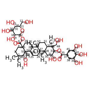 CC1(C)CC[C@]2(C(=O)O[C@@H]3OC(CO)[C@@H](O)[C@H](O)C3O)CC[C@]3(C)C(=CCC4[C@@]5(C)C[C@@H](O)[C@H](OC(=O)c6cc(O)c(O)c(O)c6)[C@](C)(CO)C5CC[C@]43C)[C@@H]2[C@@H]1O